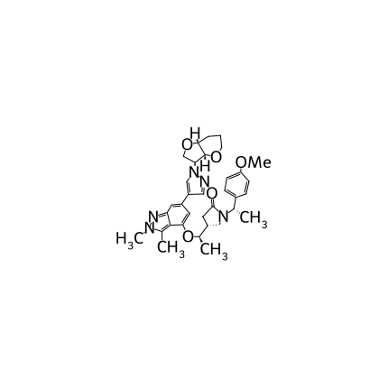 COc1ccc([C@H](C)N2C[C@H]([C@@H](C)Oc3cc(-c4cnn([C@H]5CO[C@@H]6CCCO[C@@H]65)c4)cc4nn(C)c(C)c34)CC2=O)cc1